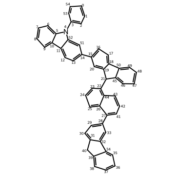 c1ccc(-n2c3ccccc3c3ccc(-c4ccc5c(c4)C(c4cccc6c(-c7ccc8c(c7)-c7ccccc7C8)cccc46)c4ccccc4-5)cc32)cc1